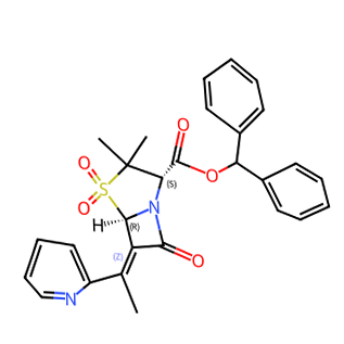 C/C(=C1\C(=O)N2[C@@H](C(=O)OC(c3ccccc3)c3ccccc3)C(C)(C)S(=O)(=O)[C@H]12)c1ccccn1